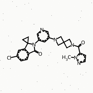 Cn1nccc1C(=O)N1CC2(C1)CN(c1cncc(N3C(=O)c4ccc(Cl)cc4C34CC4)c1)C2